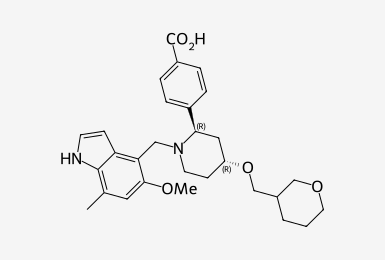 COc1cc(C)c2[nH]ccc2c1CN1CC[C@@H](OCC2CCCOC2)C[C@@H]1c1ccc(C(=O)O)cc1